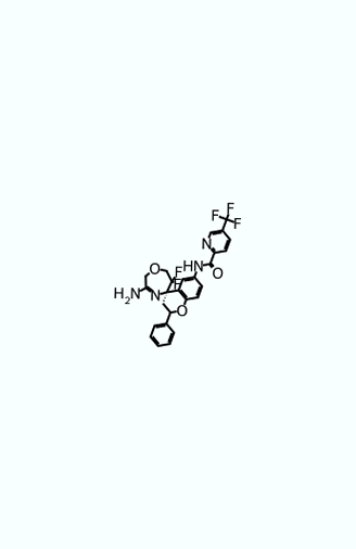 NC1=N[C@@]2(CC(c3ccccc3)Oc3ccc(NC(=O)c4ccc(C(F)(F)F)cn4)cc32)C(F)(F)COC1